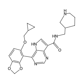 O=C(NCC1CCCNC1)c1c[nH]c2c(-c3c(OCC4CC4)ccc4c3OCO4)ncnc12